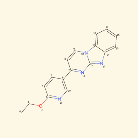 CCOc1ccc(-c2ccn3c(n2)nc2ccccc23)cn1